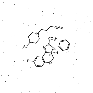 CNCCCN1CCN(C(C)=O)CC1.O=C(O)N1N=C2c3cc(F)ccc3OC[C@H]2[C@H]1c1ccccc1